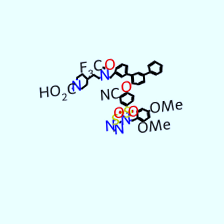 COc1ccc(CN(c2ncns2)S(=O)(=O)c2ccc(Oc3ccc(-c4ccccc4)cc3-c3cccc(CN(CCC4CCN(C(=O)O)CC4)C(=O)C(F)(F)F)c3)c(C#N)c2)c(OC)c1